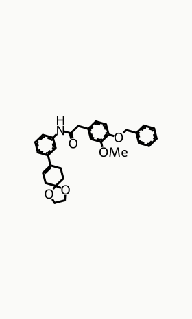 COc1cc(CC(=O)Nc2cccc(C3=CCC4(CC3)OCCO4)c2)ccc1OCc1ccccc1